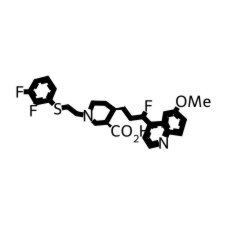 COc1ccc2nccc(C(F)CC[C@@H]3CCN(CCSc4cccc(F)c4F)C[C@@H]3C(=O)O)c2c1